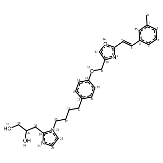 Cc1cccc(C=Cc2nc(COc3ccc(CCCCn4ccnc4CC(O)CO)cc3)co2)c1